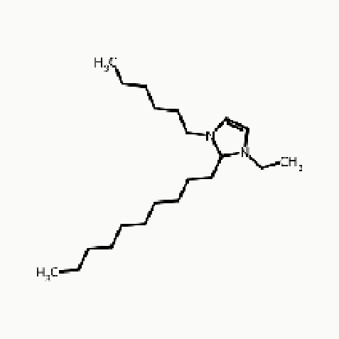 CCCCCCCCCCC1N(CC)C=CN1CCCCCC